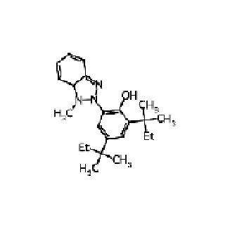 CCC(C)(C)c1cc(N2N=C3C=CC=CC3N2C)c(O)c(C(C)(C)CC)c1